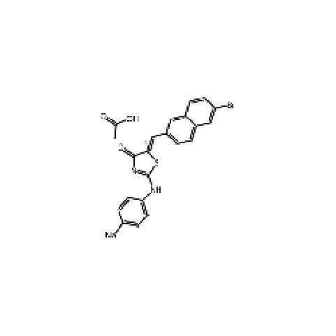 CC(=O)O.O=C1N=C(Nc2cc[c]([Na])cc2)S/C1=C\c1ccc2cc(Br)ccc2c1